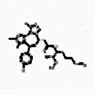 CCCCOC(=O)C(CCCCN)NC(=O)C[C@@H]1N=C(c2ccc(Cl)cc2)c2c(sc(C)c2C)-n2c(C)nnc21